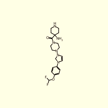 NC1(C(=O)N2CCN(N3C=CN(c4ccc(OC(F)F)cc4)C3)CC2)CCNCC1